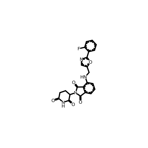 O=C1CCC(N2C(=O)c3cccc(NCc4cnc(-c5ccccc5F)o4)c3C2=O)C(=O)N1